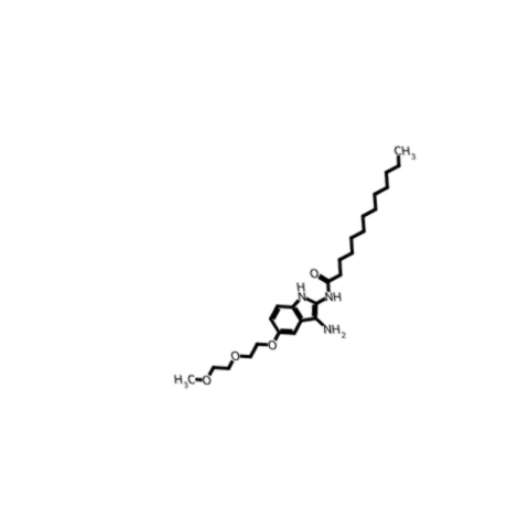 CCCCCCCCCCCCC(=O)Nc1[nH]c2ccc(OCCOCCOC)cc2c1N